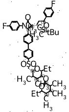 CCC1O[C@@H](O[C@@H]2C(CC)O[C@@H](CS(=O)(=O)c3ccc(-c4ccc([C@@H]5[C@@H](CC[C@H](O[Si](C)(C)C(C)(C)C)c6ccc(F)cc6)C(=O)N5c5ccc(F)cc5)cc4)cc3)C(C)[C@H]2C)C(C)[C@@H](C)[C@@H]1C